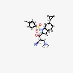 Cc1ccc(S(=O)(=O)n2c(C(=O)/C(C#N)=C/N(C)C)cc3ccc(C4CC4)cc32)cc1